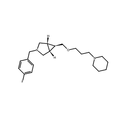 Fc1ccc(CN2C[C@@H]3[C@@H](COCCCN4CCCCC4)[C@@H]3C2)cc1